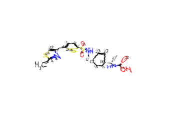 Cc1nc(-c2ccc(S(=O)(=O)NC[C@H]3CC[C@H](CNC(=O)O)CC3)s2)cs1